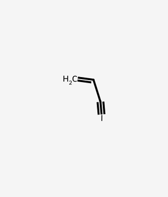 C=CC#I